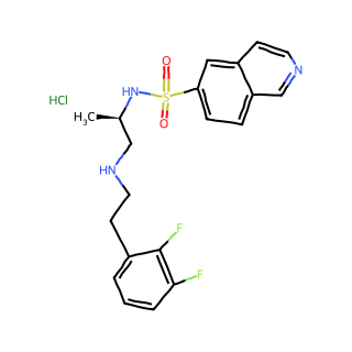 C[C@H](CNCCc1cccc(F)c1F)NS(=O)(=O)c1ccc2cnccc2c1.Cl